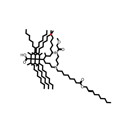 CCCCCC/C=C/COC(=O)CCCCCCCN(CCCNC(=O)COC)CCCC(C(C)CCCCCCCC)C(C(C)CCCCCCCC)(C(C)CCCCCCCC)C(C(C)CCCCCCCC)(C(C)CCCCCCCC)C(C(=O)O)(C(C)CCCCCCCC)C(C)CCCCCCCC